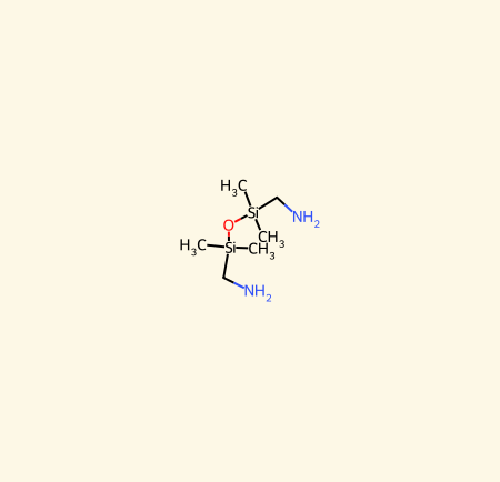 C[Si](C)(CN)O[Si](C)(C)CN